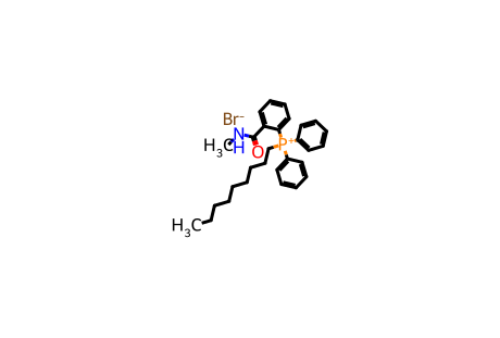 CCCCCCCCC[P+](c1ccccc1)(c1ccccc1)c1ccccc1C(=O)NC.[Br-]